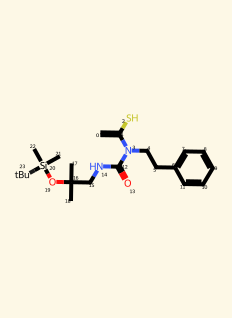 C=C(S)N(CCc1ccccc1)C(=O)NCC(C)(C)O[Si](C)(C)C(C)(C)C